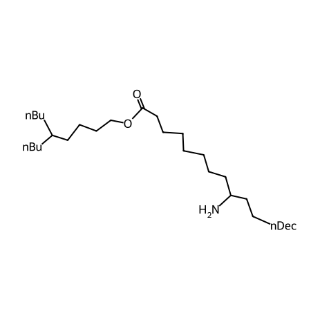 CCCCCCCCCCCCC(N)CCCCCCCC(=O)OCCCCC(CCCC)CCCC